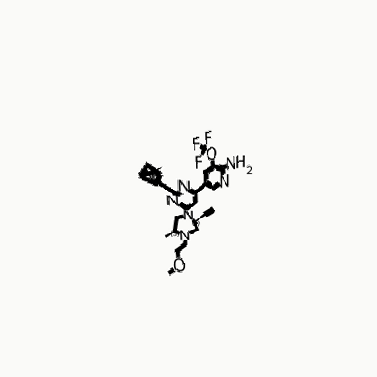 C#C[C@H]1CN(CCOC)[C@@H](C)CN1c1cc(-c2cnc(N)c(OC(F)(F)F)c2)nc(N2CC3CC2C3)n1